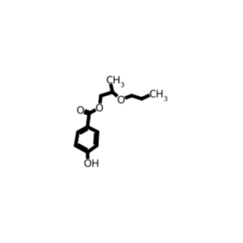 CCCOC(C)COC(=O)c1ccc(O)cc1